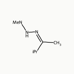 CNN/N=C(/C)C(C)C